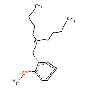 CCC[CH2][Al]([CH2]CCC)[CH2]c1ccccc1OC